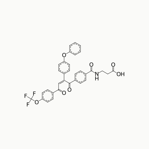 O=C(O)CCNC(=O)c1ccc(C(=O)/C(=C\C(=O)c2ccc(OC(F)(F)F)cc2)c2ccc(Oc3ccccc3)cc2)cc1